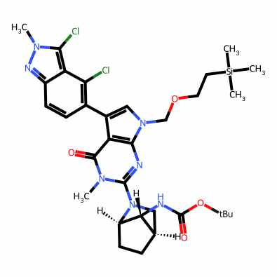 Cn1nc2ccc(-c3cn(COCC[Si](C)(C)C)c4nc(N5C[C@H]6CC[C@@H]5[C@@H]6NC(=O)OC(C)(C)C)n(C)c(=O)c34)c(Cl)c2c1Cl